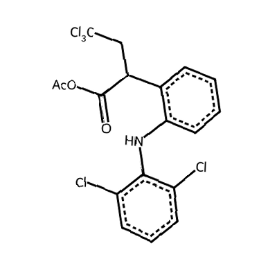 CC(=O)OC(=O)C(CC(Cl)(Cl)Cl)c1ccccc1Nc1c(Cl)cccc1Cl